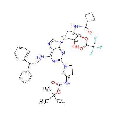 CC(C)(C)OC(=O)N[C@@H]1CCN(c2nc(NCC(c3ccccc3)c3ccccc3)c3ncn([C@@H]4C[C@H](NC(=O)C5CCC5)[C@@H](OC(=O)C(F)(F)F)[C@H]4O)c3n2)C1